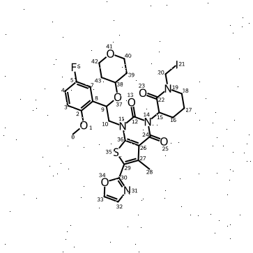 COc1ccc(F)cc1C(Cn1c(=O)n(C2CCCN(CI)C2=O)c(=O)c2c(C)c(-c3ncco3)sc21)OC1CCOCC1